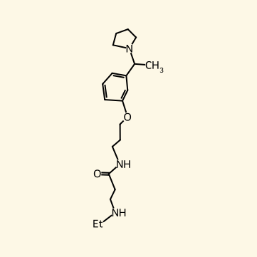 CCNCCC(=O)NCCCOc1cccc(C(C)N2CCCC2)c1